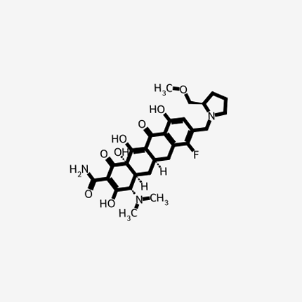 COC[C@H]1CCCN1Cc1cc(O)c2c(c1F)C[C@H]1C[C@H]3[C@H](N(C)C)C(O)=C(C(N)=O)C(=O)[C@@]3(O)C(O)=C1C2=O